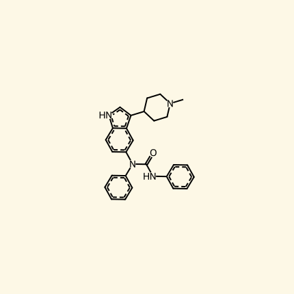 CN1CCC(c2c[nH]c3ccc(N(C(=O)Nc4ccccc4)c4ccccc4)cc23)CC1